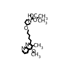 COc1c(C)c(CCCCCO[C@@H]2CCN(C(=O)OC(C)(C)C)C2)nc2ncccc12